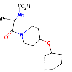 CC(C)[C@H](NC(=O)O)C(=O)N1CCC(OC2CCCCC2)CC1